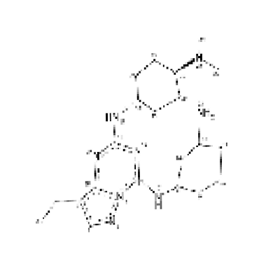 CCc1cnn2c(NC3CCCC(N)C3)nc(N[C@H]3CC[C@H](N(C)C)CC3)nc12